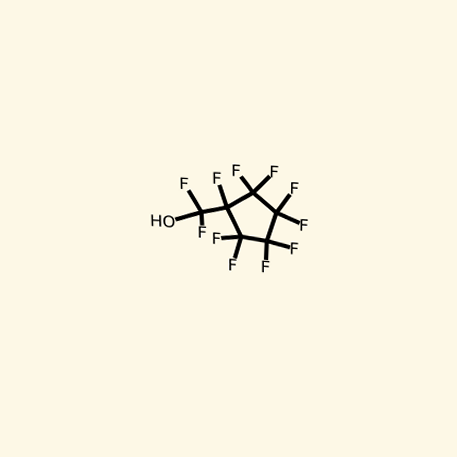 OC(F)(F)C1(F)C(F)(F)C(F)(F)C(F)(F)C1(F)F